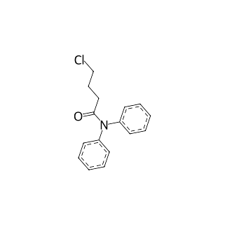 O=C(CCCCl)N(c1ccccc1)c1ccccc1